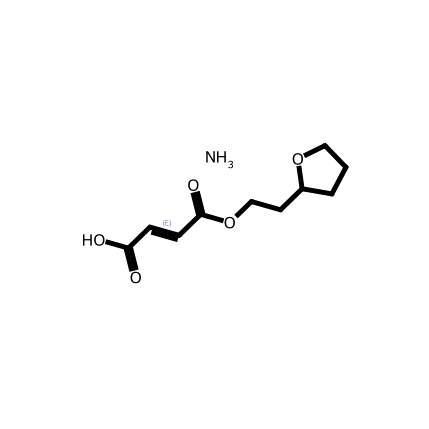 N.O=C(O)/C=C/C(=O)OCCC1CCCO1